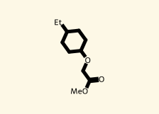 CCC1CCC(OCC(=O)OC)CC1